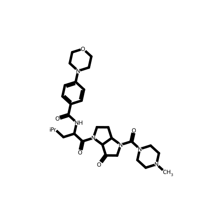 CC(C)CC(NC(=O)c1ccc(N2CCOCC2)cc1)C(=O)N1CCC2C1C(=O)CN2C(=O)N1CCN(C)CC1